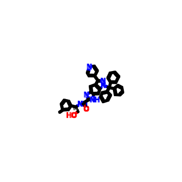 Cc1cccc([C@@H](CO)NC(=O)c2nc3cc4c(-c5ccncc5)nn(C(c5ccccc5)(c5ccccc5)c5ccccc5)c4cc3[nH]2)c1